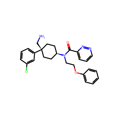 NC[C@]1(c2cccc(Cl)c2)CC[C@H](N(CCOc2ccccc2)C(=O)c2cccnn2)CC1